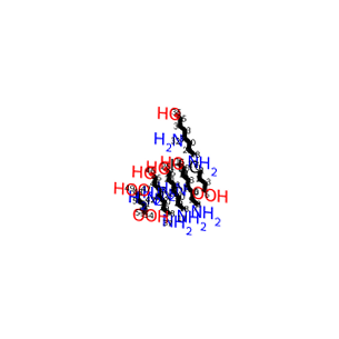 CCCCC(=O)O.NCCCC(N)CCCO.NCCCC(N)CCCO.NCCCC(N)CCCO.NCCCC(N)CCCO.O=C(O)CCC(=O)O